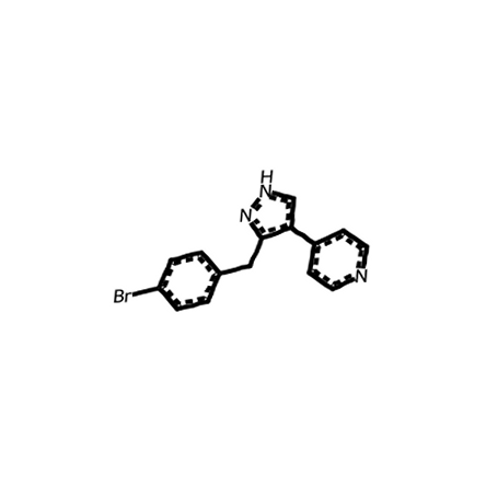 Brc1ccc(Cc2n[nH]cc2-c2ccncc2)cc1